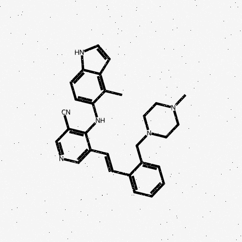 Cc1c(Nc2c(C#N)cncc2C=Cc2ccccc2CN2CCN(C)CC2)ccc2[nH]ccc12